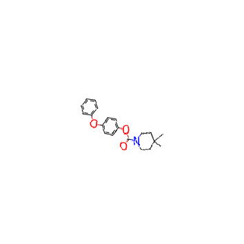 CC1(C)CCN(C(=O)Oc2ccc(Oc3ccccc3)cc2)CC1